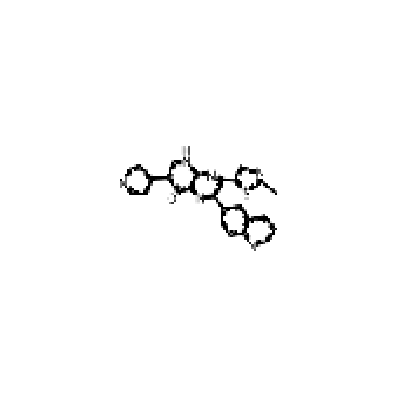 Cc1ncc(-c2nc3[nH]cc(-c4ccncc4)c(=O)c3nc2-c2ccc3ncccc3c2)s1